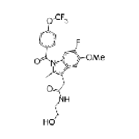 COc1cc2c(CC(=O)NCCO)c(C)n(C(=O)c3ccc(OC(F)(F)F)cc3)c2cc1F